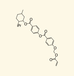 C=CC(=O)OCOc1ccc(C(=O)Oc2ccc(C(=O)OC3CC(C)CCC3C(C)C)cc2)cc1